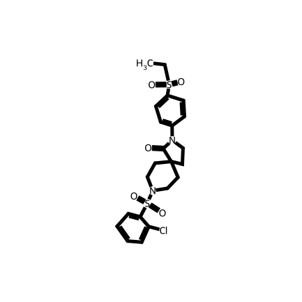 CCS(=O)(=O)c1ccc(N2CCC3(CCN(S(=O)(=O)c4ccccc4Cl)CC3)C2=O)cc1